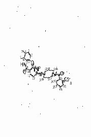 Cc1ccc2c(c1C)NC(=O)c1ccc(N3CCN(C(=O)c4ccccc4C(F)(F)F)CC3)nc1O2